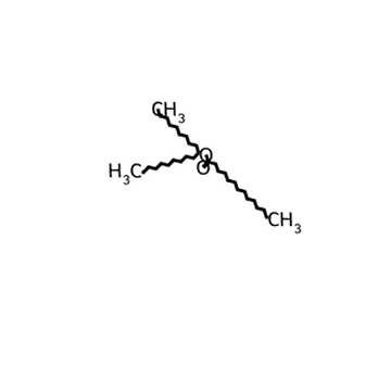 CCCCCCCCCCCCCC(=O)OC(CCCCCCCCC)CCCCCCCCCC